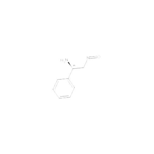 N[C@@H](CN=O)c1ccccc1